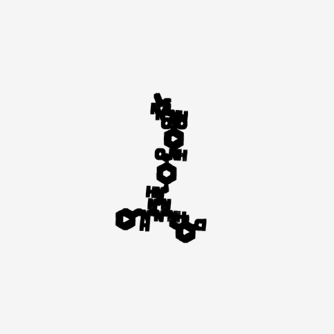 Cc1nnc(NS(=O)(=O)c2ccc(NC(=O)[C@H]3CC[C@H](CNc4nc(NCc5ccccc5)nc(NCc5cccc(Cl)c5C)n4)CC3)cc2)s1